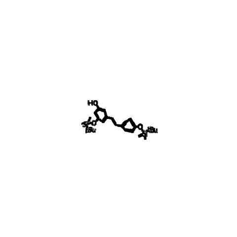 CC(C)(C)[Si](C)(C)Oc1ccc(C=Cc2cc(O)cc(O[Si](C)(C)C(C)(C)C)c2)cc1